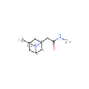 CNC(=O)CC12CC(C)CC(C1)N2C